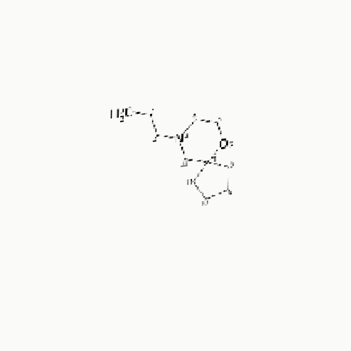 CCCN1CCOC2(CCCC2)C1